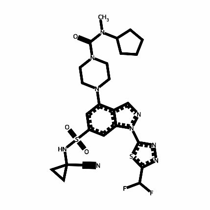 CN(C(=O)N1CCN(c2cc(S(=O)(=O)NC3(C#N)CC3)cc3c2cnn3-c2nnc(C(F)F)s2)CC1)C1CCCC1